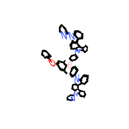 Cc1cc(Oc2ccccc2)cc(C)c1B(c1ccc(-n2c3ccccc3c3c4c5ccccc5n(-c5ccccn5)c4ccc32)cc1)c1ccc(-n2c3ccccc3c3c4c5ccccc5n(-c5ccccn5)c4ccc32)cc1